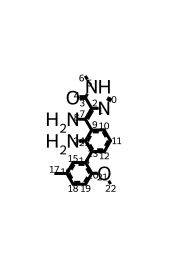 C=N/C(C(=O)NC)=C(/N)c1cccc(-c2cc(C)ccc2OC)c1N